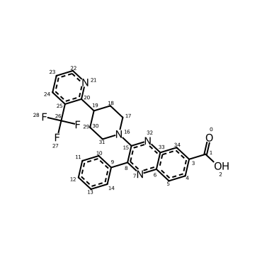 O=C(O)c1ccc2nc(-c3ccccc3)c(N3CCC(c4ncccc4C(F)(F)F)CC3)nc2c1